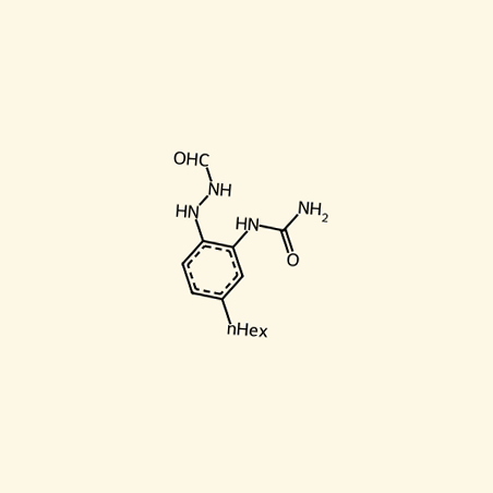 CCCCCCc1ccc(NNC=O)c(NC(N)=O)c1